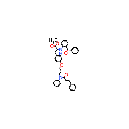 COC(=O)C(Cc1ccc(OCCCN(C(=O)C=Cc2ccccc2)c2ccccc2)cc1)Nc1ccccc1C(=O)c1ccccc1